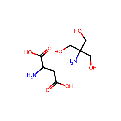 NC(CC(=O)O)C(=O)O.NC(CO)(CO)CO